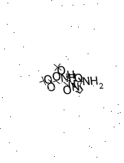 CC(C)(C)OC(=O)CC[C@H](NC(=O)OC(C)(C)C)C(=O)Nn1cccc1C(N)=O